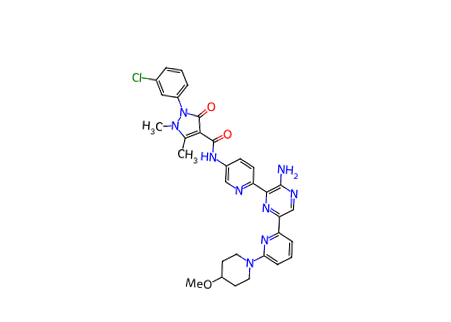 COC1CCN(c2cccc(-c3cnc(N)c(-c4ccc(NC(=O)c5c(C)n(C)n(-c6cccc(Cl)c6)c5=O)cn4)n3)n2)CC1